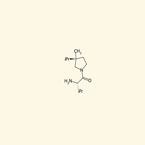 CC(C)[C@H](N)C(=O)N1CC[C@](C)(C(C)C)C1